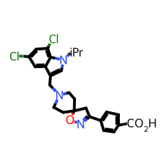 CC(C)n1cc(CN2CCC3(CC2)CC(c2ccc(C(=O)O)cc2)=NO3)c2cc(Cl)cc(Cl)c21